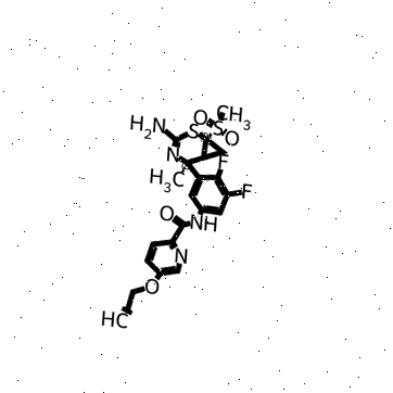 C#CCOc1ccc(C(=O)Nc2cc(F)c(F)c([C@@]3(C)N=C(N)S[C@@]4(S(C)(=O)=O)CC43)c2)nc1